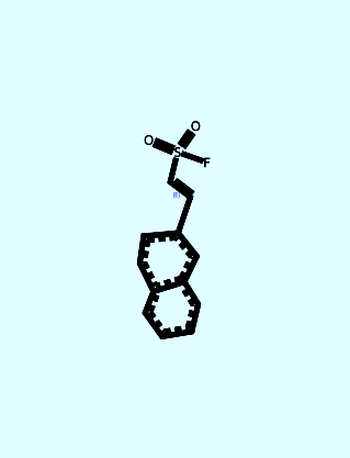 O=S(=O)(F)/C=C/c1ccc2ccccc2c1